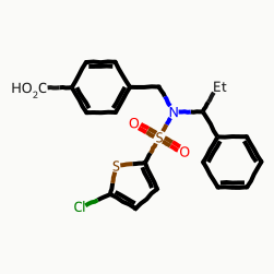 CCC(c1ccccc1)N(Cc1ccc(C(=O)O)cc1)S(=O)(=O)c1ccc(Cl)s1